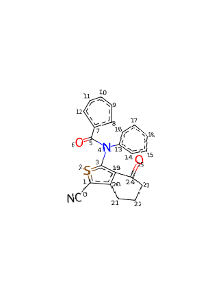 N#Cc1sc(N(C(=O)c2ccccc2)c2ccccc2)c2c1CCCC2=O